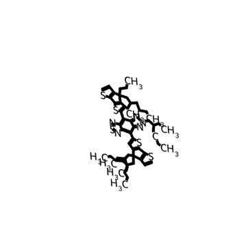 CCCCC(CC)Cn1nc2c(-c3cc4c(s3)-c3sccc3C4(CCC)CC(CC)CCCC)c3c(c(-c4cc5c(s4)-c4sccc4C5(CC(CC)CCCC)CC(CC)CCCC)c2n1)N=S=N3